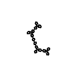 c1ccc(N(c2ccccc2)c2ccc(-c3ccc(N(c4ccccc4)c4ccc(-c5ccc(-c6ccc(-c7ccc(N(c8ccccc8)c8ccc(-c9ccc(N(c%10ccccc%10)c%10ccccc%10)cc9)cc8)cc7)cc6)cc5)cc4)cc3)cc2)cc1